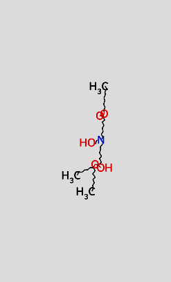 CCCCCCCCCOC(=O)CCCCCCCN(CCO)CCCCCCCC(O)OC(CCCCCC)CCCCCCCC